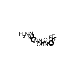 Nc1ncc2c(n1)CCN(c1nc(C(=O)Nc3cccc(C(F)(F)F)c3)co1)C2